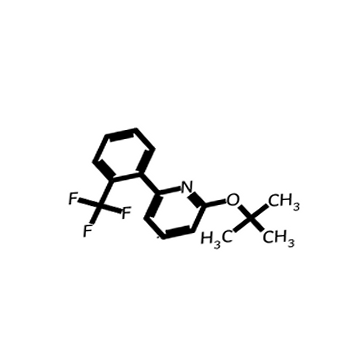 CC(C)(C)Oc1c[c]cc(-c2ccccc2C(F)(F)F)n1